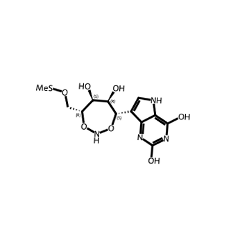 CSOC[C@H]1ONO[C@@H](c2c[nH]c3c(O)nc(O)nc23)[C@H](O)[C@@H]1O